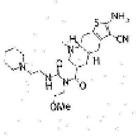 COCCN(C(=O)NCCN1CCCCC1)C(=O)[C@@H]1C[C@@H]2Cc3c(sc(N)c3C#N)C[C@H]2N(C)C1